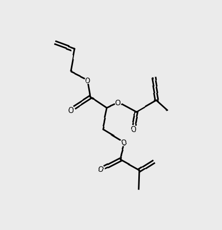 C=CCOC(=O)C(COC(=O)C(=C)C)OC(=O)C(=C)C